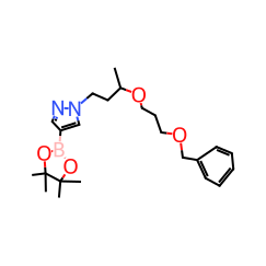 CC(CCn1cc(B2OC(C)(C)C(C)(C)O2)cn1)OCCCOCc1ccccc1